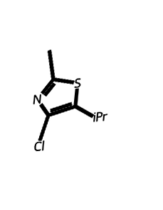 Cc1nc(Cl)c(C(C)C)s1